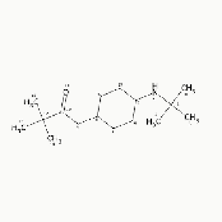 CC(C)(C)NC1CCC(CC(=O)C(C)(C)C)CC1